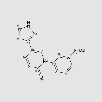 CC(=O)Nc1cccc(-n2cc(-c3cn[nH]c3)ccc2=O)c1